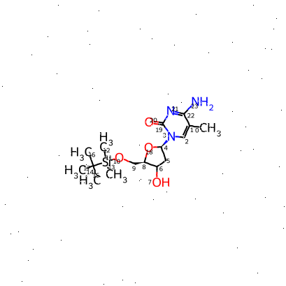 Cc1cn([C@H]2CC(O)[C@@H](CO[Si](C)(C)C(C)(C)C)O2)c(=O)nc1N